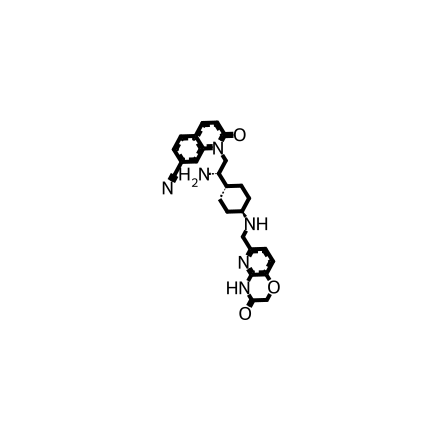 N#Cc1ccc2ccc(=O)n(C[C@@H](N)[C@H]3CC[C@H](NCc4ccc5c(n4)NC(=O)CO5)CC3)c2c1